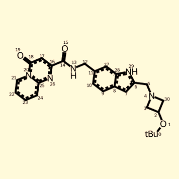 CC(C)(C)OC1CN(Cc2cc3ccc(CNC(=O)c4cc(=O)n5ccccc5n4)cc3[nH]2)C1